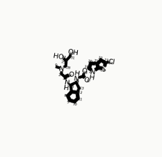 CN(CC(=O)N[C@@H]1c2ccccc2C[C@H]1NC(=O)Oc1cc2cc(Cl)sc2[nH]1)CC(O)CO